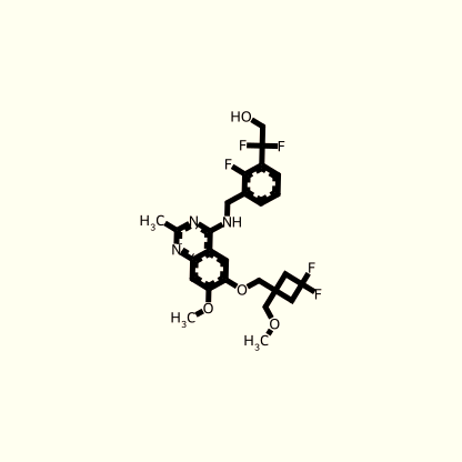 COCC1(COc2cc3c(NCc4cccc(C(F)(F)CO)c4F)nc(C)nc3cc2OC)CC(F)(F)C1